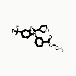 CCOC(=O)c1cccc(-n2c(C3CCOC3)nc3cc(C(F)(F)F)ccc32)c1